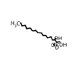 CCCCCCCCCCCCCCCC(O)C(CO)[N+](=O)[O-]